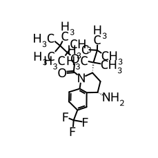 CC(C)(C)C(C)(C)OC(=O)N1c2ccc(C(F)(F)F)cc2[C@@H](N)C[C@H]1C(C)(C)C(C)(C)C